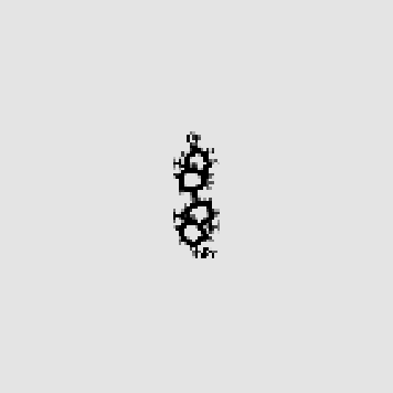 CCC[C@H]1CC[C@@H]2CC(C3CC[C@@H]4CC(=O)CC[C@H]4C3)CC[C@H]2C1